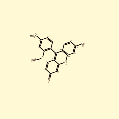 O=COc1cc(C(=O)O)ccc1-c1c2ccc(=O)cc-2oc2cc(O)ccc12